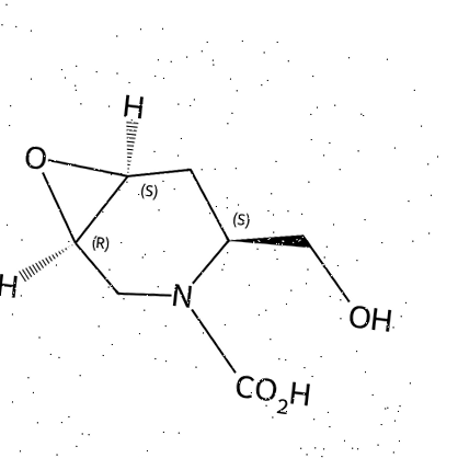 O=C(O)N1C[C@H]2O[C@H]2C[C@H]1CO